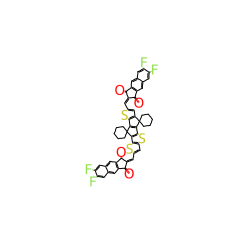 O=C1C(=Cc2cc3c(s2)C2=C(c4sc5cc(C=C6C(=O)c7cc8cc(F)c(F)cc8cc7C6=O)sc5c4C24CCCCC4)C32CCCCC2)C(=O)c2cc3cc(F)c(F)cc3cc21